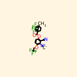 [C-]#[N+]c1c(OCC(F)(F)F)ccc(OC(=O)C23CCC(C)(CC2)C(F)(F)C3(F)F)c1C#N